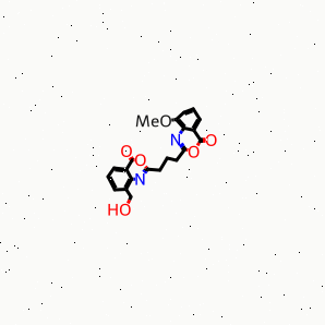 COc1cccc2c(=O)oc(CCCc3nc4c(CO)cccc4c(=O)o3)nc12